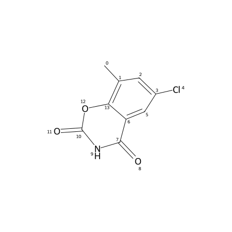 Cc1cc(Cl)cc2c(=O)[nH]c(=O)oc12